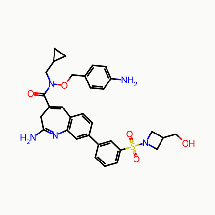 NC1=Nc2cc(-c3cccc(S(=O)(=O)N4CC(CO)C4)c3)ccc2C=C(C(=O)N(CC2CC2)OCc2ccc(N)cc2)C1